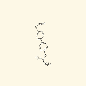 CCCCCSc1ccc(-c2ccc(O[C@H](C)C(=O)OCC)cc2)cc1